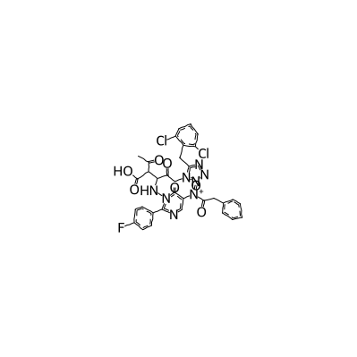 CC(=O)C(C(=O)O)C(Nn1c(-c2ccc(F)cc2)ncc([N+](=O)C(=O)Cc2ccccc2)c1=O)C(=O)Cn1nnnc1Cc1c(Cl)cccc1Cl